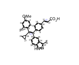 COc1ccc(/C(=C(\c2ccc(/C=C/C(=O)O)cc2)c2ccc3[nH]nc(F)c3c2)C2CC2)c(F)c1